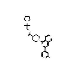 CC(C)(CNC(=O)C1CCN(c2nc(-c3ccnc(Cl)c3)cc3cnccc23)CC1)N1CCCC1